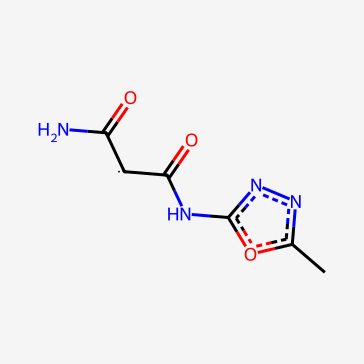 Cc1nnc(NC(=O)[CH]C(N)=O)o1